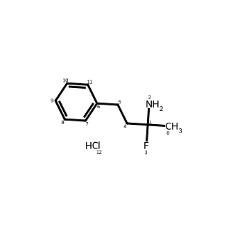 CC(N)(F)CCc1ccccc1.Cl